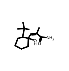 CC(=CC1(O)CCCCC1C(C)(C)C)C(N)=O